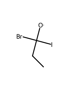 CCC([O])(Br)I